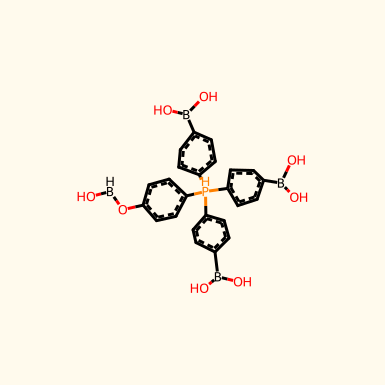 OBOc1ccc([PH](c2ccc(B(O)O)cc2)(c2ccc(B(O)O)cc2)c2ccc(B(O)O)cc2)cc1